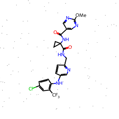 COc1ncc(C(=O)NC2(C(=O)NCc3ccc(Nc4ccc(Cl)cc4C(F)(F)F)cn3)CC2)cn1